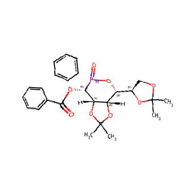 CC1(C)O[C@H]2[C@@H]([C@H]3COC(C)(C)O3)O[P@](=O)(c3ccccc3)[C@@H](OC(=O)c3ccccc3)[C@H]2O1